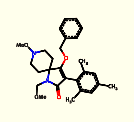 COCN1C(=O)C(c2c(C)cc(C)cc2C)=C(OCc2ccccc2)C12CCN(OC)CC2